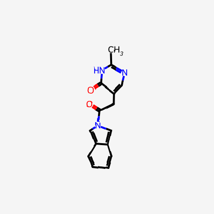 Cc1ncc(CC(=O)n2cc3ccccc3c2)c(=O)[nH]1